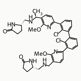 COc1nc(-c2cccc(-c3cccc(-c4ccc([C@H](C)NC[C@@H]5CCC(=O)N5)c(OC)n4)c3Cl)c2Cl)ccc1CNC[C@@H]1CCC(=O)N1